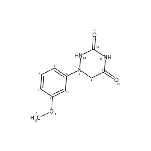 COc1cccc(N2CC(=O)NC(=O)N2)c1